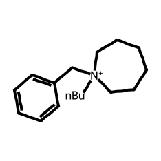 CCCC[N+]1(Cc2ccccc2)CCCCCC1